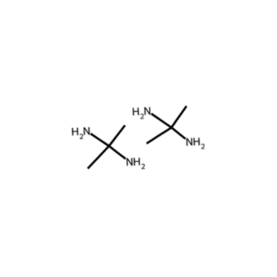 CC(C)(N)N.CC(C)(N)N